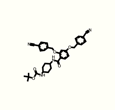 CC(C)(C)OC(=O)NC1CCC(NC(=O)c2ccc(OCc3ccc(C#N)cc3)cc2OCc2ccc(C#N)cc2)CC1